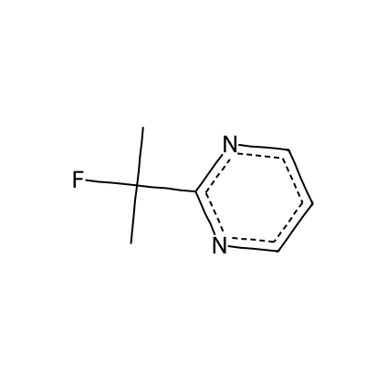 CC(C)(F)c1ncccn1